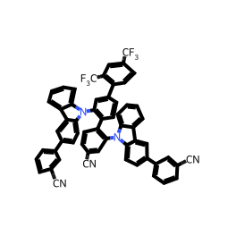 N#Cc1cccc(-c2ccc3c(c2)c2ccccc2n3-c2cc(C#N)ccc2-c2ccc(-c3ccc(C(F)(F)F)cc3C(F)(F)F)cc2-n2c3ccccc3c3cc(-c4cccc(C#N)c4)ccc32)c1